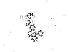 CN(C)CCNC(=O)c1cccc(-c2ccccc2CC(c2cccnc2)c2cccnc2)c1